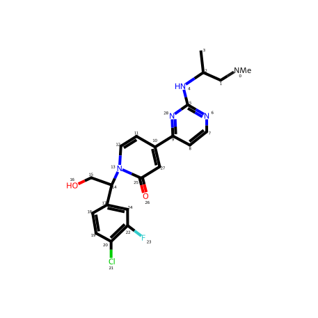 CNCC(C)Nc1nccc(-c2ccn(C(CO)c3ccc(Cl)c(F)c3)c(=O)c2)n1